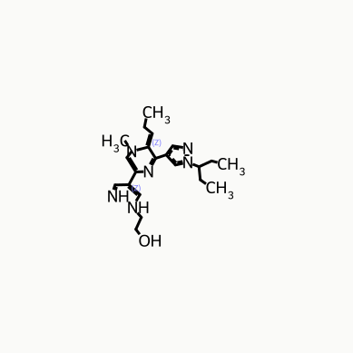 CC/C=C1/C(c2cnn(C(CC)CC)c2)=NC(/C(C=N)=C/NCCO)=CN1C